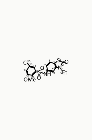 CCn1c(=O)sc2ccc(NS(=O)(=O)c3cc(Cl)ccc3OC)cc21